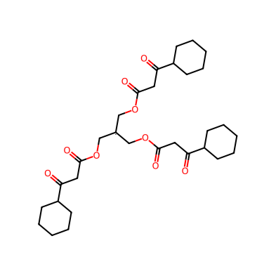 O=C(CC(=O)C1CCCCC1)OC[C](COC(=O)CC(=O)C1CCCCC1)COC(=O)CC(=O)C1CCCCC1